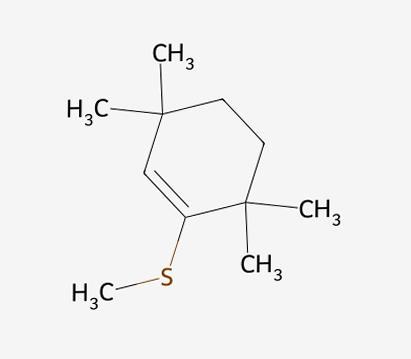 CSC1=CC(C)(C)CCC1(C)C